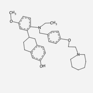 CCN(Cc1ccc(OCCN2CCCCCC2)cc1)c1ccc(OC)cc1C1CCc2cc(O)ccc2C1